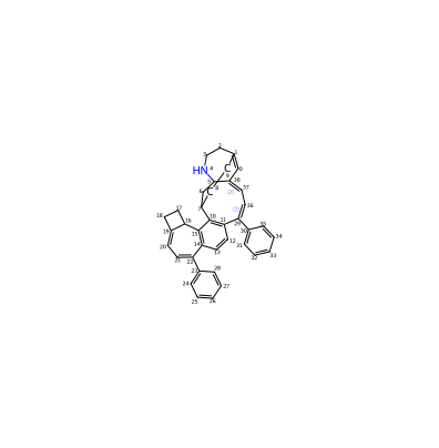 C1=C2CCNC3CC(CC2)c2c(ccc4c2C2CCC2=CC=C4c2ccccc2)/C(c2ccccc2)=C\C=C\13